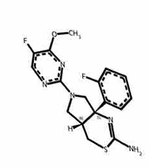 COc1nc(N2C[C@H]3CSC(N)=N[C@@]3(c3ccccc3F)C2)ncc1F